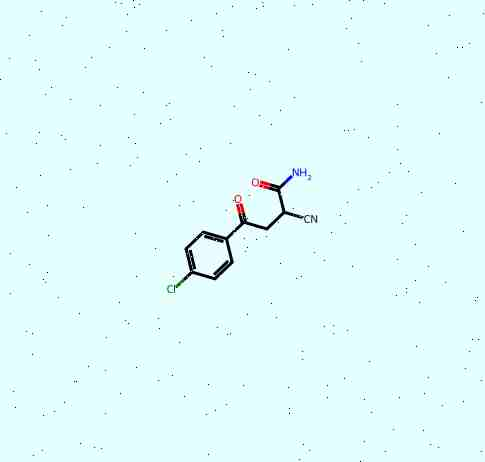 N#CC(CC(=O)c1ccc(Cl)cc1)C(N)=O